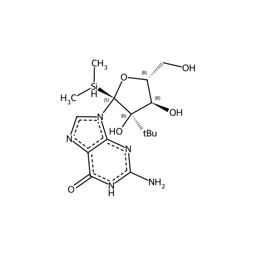 C[SiH](C)[C@@]1(n2cnc3c(=O)[nH]c(N)nc32)O[C@H](CO)[C@@H](O)[C@]1(O)C(C)(C)C